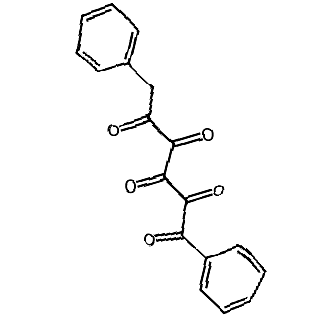 O=C(Cc1ccccc1)C(=O)C(=O)C(=O)C(=O)c1ccccc1